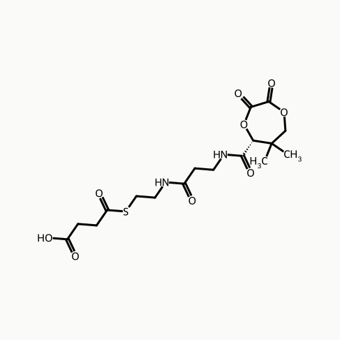 CC1(C)COC(=O)C(=O)O[C@H]1C(=O)NCCC(=O)NCCSC(=O)CCC(=O)O